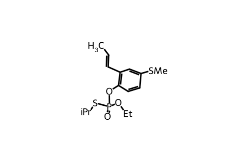 CC=Cc1cc(SC)ccc1OP(=O)(OCC)SC(C)C